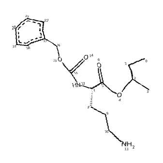 CCC(C)OC(=O)[C@H](CCCN)NC(=O)OCc1ccccc1